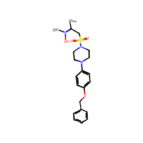 CCCCCC(CS(=O)(=O)N1CCN(c2ccc(OCc3ccccc3)cc2)CC1)N(O)C=O